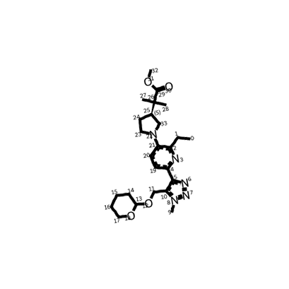 CCc1nc(-c2nnn(C)c2COC2CCCCO2)ccc1N1CC[C@@H](C(C)(C)C(=O)OC)C1